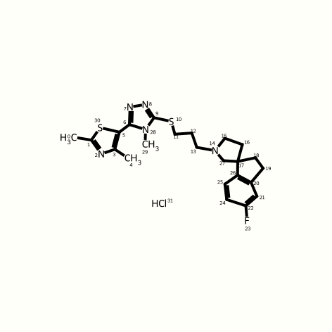 Cc1nc(C)c(-c2nnc(SCCCN3CCC4(CCc5cc(F)ccc54)C3)n2C)s1.Cl